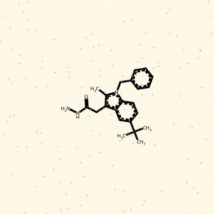 Cc1c(CC(=O)NN)c2cc(C(C)(C)C)ccc2n1Cc1ccccc1